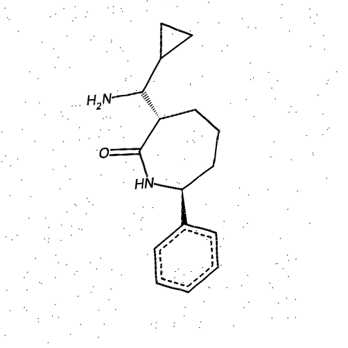 NC(C1CC1)[C@@H]1CCC[C@@H](c2ccccc2)NC1=O